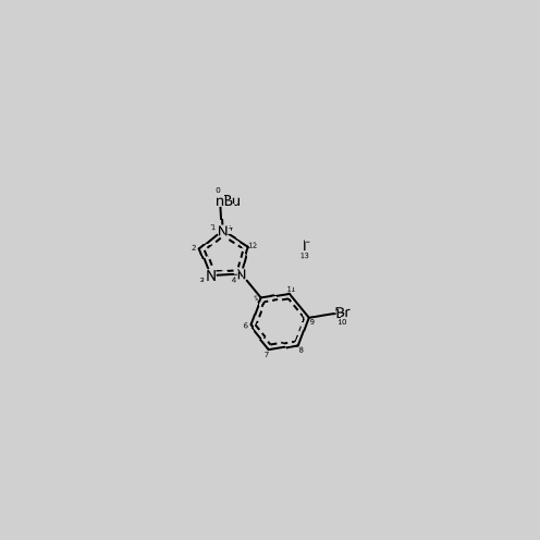 CCCC[n+]1cnn(-c2cccc(Br)c2)c1.[I-]